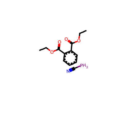 CCOC(=O)c1ccccc1C(=O)OCC.N#CP